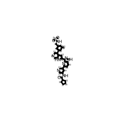 CS(=O)(=O)NCc1cc(F)cc(-c2cncc3[nH]c(-c4n[nH]c5ccc(-c6cncc(NC(=O)C7CCCC7)c6)nc45)cc23)c1